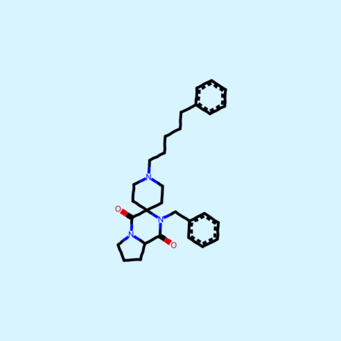 O=C1C2CCCN2C(=O)C2(CCN(CCCCCc3ccccc3)CC2)N1Cc1ccccc1